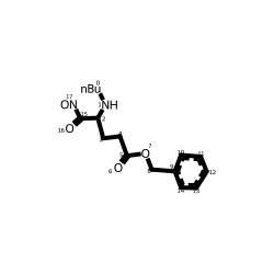 CCCCNC(CCC(=O)OCc1ccccc1)C(=O)N=O